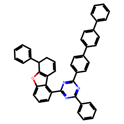 C1=Cc2c(oc3cccc(-c4nc(-c5ccccc5)nc(-c5ccc(-c6ccc(-c7ccccc7)cc6)cc5)n4)c23)C(c2ccccc2)C1